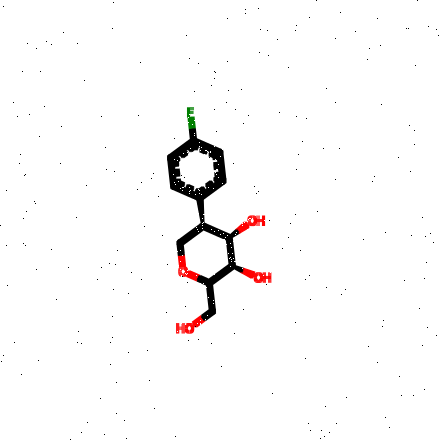 OCC1OC[C@@H](c2ccc(F)cc2)[C@@H](O)[C@H]1O